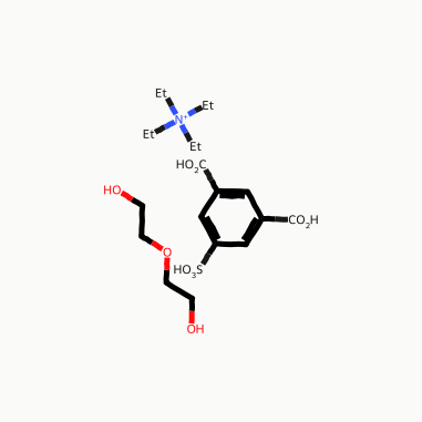 CC[N+](CC)(CC)CC.O=C(O)c1cc(C(=O)O)cc(S(=O)(=O)O)c1.OCCOCCO